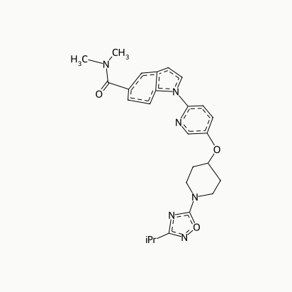 CC(C)c1noc(N2CCC(Oc3ccc(-n4ccc5cc(C(=O)N(C)C)ccc54)nc3)CC2)n1